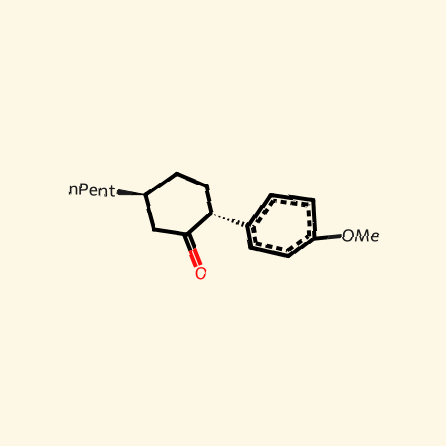 CCCCC[C@H]1CC[C@H](c2ccc(OC)cc2)C(=O)C1